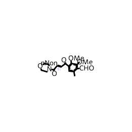 CCCCCCCCC/C(=C\C(=O)c1cc(C)c(C=O)c(OC)c1OC)C(=O)N1CCOCC1